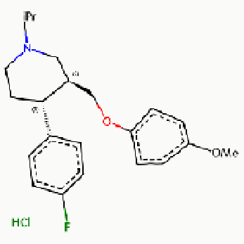 COc1ccc(OC[C@@H]2CN(C(C)C)CC[C@H]2c2ccc(F)cc2)cc1.Cl